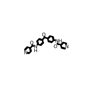 O=C(Nc1ccc(C(=O)c2ccc(NC(=O)c3ccncc3)cc2)cc1)c1ccncc1